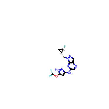 FC(F)Oc1cc(Nc2cnc3cnn(C[C@@H]4C[C@@H]4F)c3n2)n[nH]1